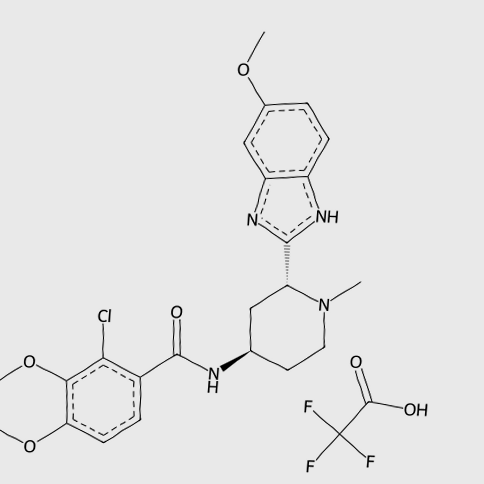 COc1ccc2[nH]c([C@H]3C[C@H](NC(=O)c4ccc5c(c4Cl)OCCO5)CCN3C)nc2c1.O=C(O)C(F)(F)F